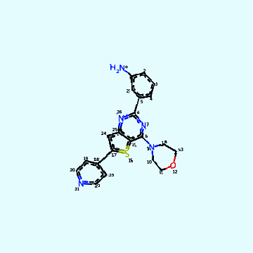 Nc1cccc(-c2nc(N3CCOCC3)c3sc(-c4ccncc4)cc3n2)c1